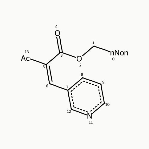 CCCCCCCCCCOC(=O)C(=Cc1cccnc1)C(C)=O